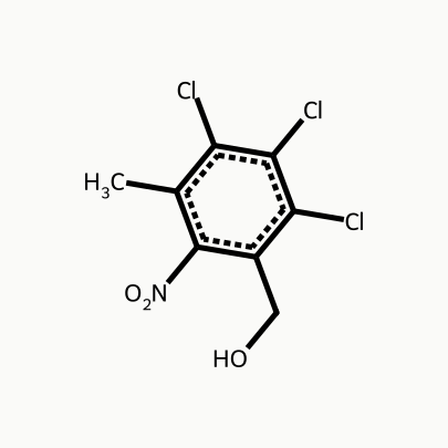 Cc1c(Cl)c(Cl)c(Cl)c(CO)c1[N+](=O)[O-]